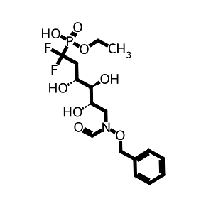 CCOP(=O)(O)C(F)(F)C[C@@H](O)[C@@H](O)[C@@H](O)CN(C=O)OCc1ccccc1